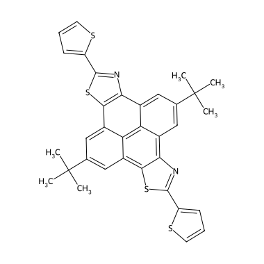 CC(C)(C)c1cc2c3nc(-c4cccs4)sc3c3cc(C(C)(C)C)cc4c5sc(-c6cccs6)nc5c(c1)c2c34